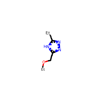 CCOCc1nnc(CC)[nH]1